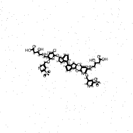 CS(=O)(=O)c1cncc(COc2nc(O[C@H]3CCc4c(-c5cccc6c5CC[C@@H]6Oc5nc(OCc6cncc(S(C)(=O)=O)c6)c(CNC[C@@H](O)CC(=O)O)cc5Cl)cccc43)c(Cl)cc2CNC[C@@H](O)CC(=O)O)c1